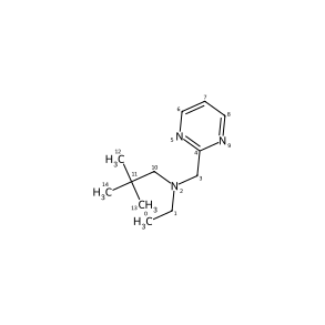 CCN(Cc1ncccn1)CC(C)(C)C